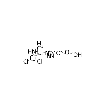 Cc1[nH]c2cc(Cl)cc(Cl)c2c1CCn1cc(COCCOCCO)nn1